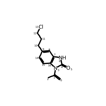 C=C(C)n1c(=O)[nH]c2cc(CCCCl)ccc21